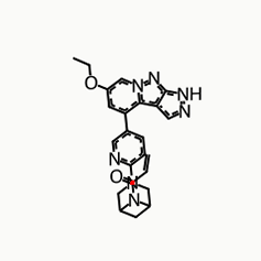 C=CC(=O)N1C2CC1CN(c1ccc(-c3cc(OCC)cn4nc5[nH]ncc5c34)cn1)C2